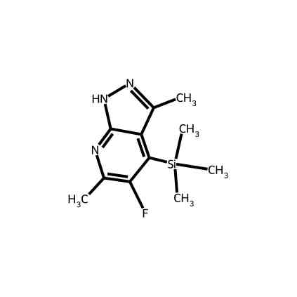 Cc1nc2[nH]nc(C)c2c([Si](C)(C)C)c1F